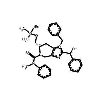 CN(C(=O)N1Cc2nc(C(O)c3ccccc3)n(Cc3ccccc3)c2C[C@H]1CO[Si](C)(C)C(C)(C)C)c1ccccc1